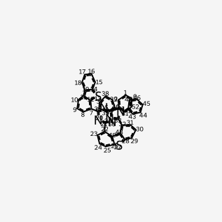 c1ccc(-c2nc(-c3cccc4c3sc3ccccc34)nc(-c3cccc4sc5cccc(-c6nc7ccccc7n6-c6ccccc6)c5c34)n2)cc1